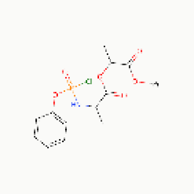 CC(C)OC(=O)C(C)OC(=O)C(C)NP(=O)(Cl)Oc1ccccc1